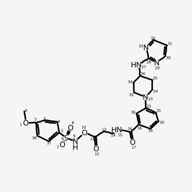 COc1ccc(S(=O)(=O)NOC(=O)CCNC(=O)c2cccc(N3CCC(Nc4ncccn4)CC3)c2)cc1